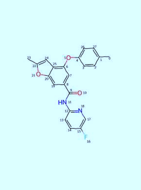 Cc1ccc(Oc2cc(C(=O)Nc3ccc(F)cn3)cc3oc(C)cc23)cc1